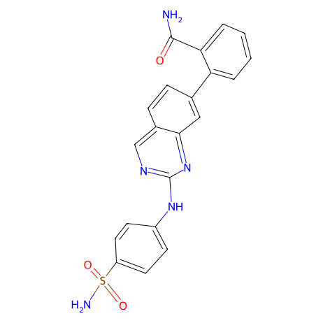 NC(=O)c1ccccc1-c1ccc2cnc(Nc3ccc(S(N)(=O)=O)cc3)nc2c1